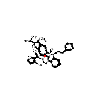 Cc1c(C(O)O)oc2ccc(S(=O)(=O)N(CCc3ccccc3)c3ccccc3N3CCN(C(=O)c4sccc4Br)CC3)cc12